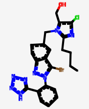 CCCCc1nc(Cl)c(CO)n1Cc1ccc2nn(-c3ccccc3-c3nnn[nH]3)c(Br)c2c1